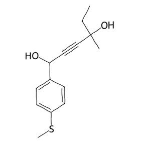 CCC(C)(O)C#CC(O)c1ccc(SC)cc1